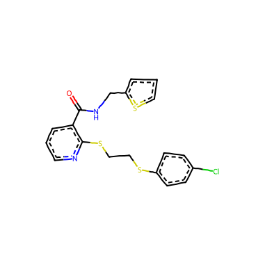 O=C(NCc1cccs1)c1cccnc1SCCSc1ccc(Cl)cc1